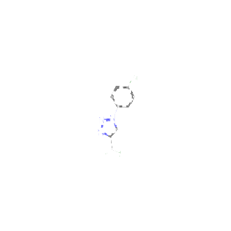 FC(F)c1cn(-c2ccc(Br)cc2)nn1